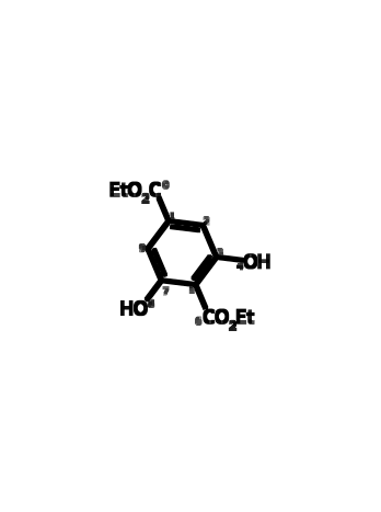 CCOC(=O)c1cc(O)c(C(=O)OCC)c(O)c1